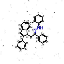 Cc1ccccc1NN=C(CC1C(c2ccccc2)=Cc2ccccc21)c1ccccc1